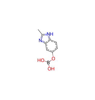 Cc1nc2cc(OB(O)O)ccc2[nH]1